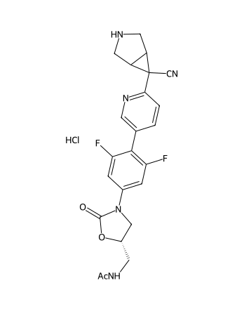 CC(=O)NC[C@H]1CN(c2cc(F)c(-c3ccc(C4(C#N)C5CNCC54)nc3)c(F)c2)C(=O)O1.Cl